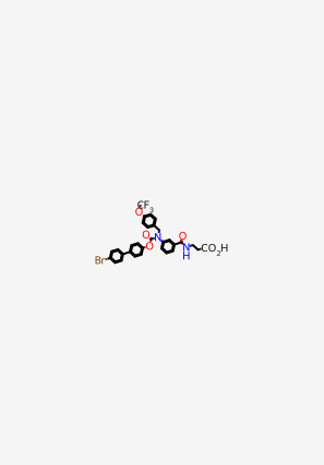 O=C(O)CCNC(=O)c1cccc(N(Cc2ccc(OC(F)(F)F)cc2)C(=O)Oc2ccc(-c3ccc(Br)cc3)cc2)c1